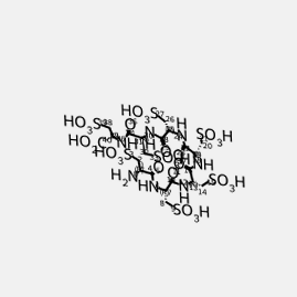 N[C@@H](CS(=O)(=O)O)C(=O)N[C@@H](CS(=O)(=O)O)C(=O)N[C@@H](CS(=O)(=O)O)C(=O)N[C@@H](CS(=O)(=O)O)C(=O)N[C@@H](CS(=O)(=O)O)C(=O)N[C@@H](CS(=O)(=O)O)C(=O)N[C@@H](CS(=O)(=O)O)C(=O)O